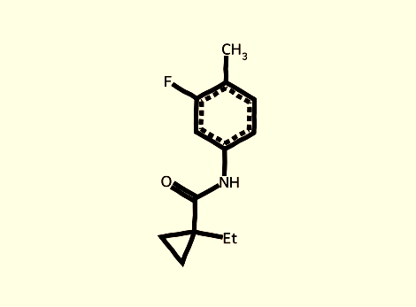 CCC1(C(=O)Nc2ccc(C)c(F)c2)CC1